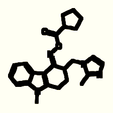 Cc1nccn1CC1CCc2c(c3ccccc3n2C)C1=NOC(=O)C1CCCC1